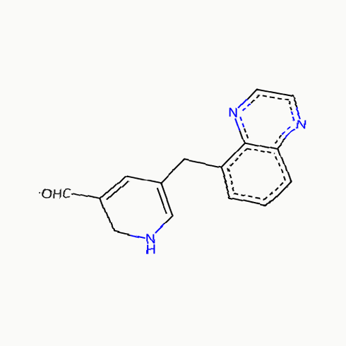 O=[C]C1=CC(Cc2cccc3nccnc23)=CNC1